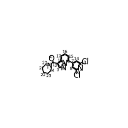 O=C(c1cnn2c(-c3cc(Cl)nc(Cl)c3)cccc12)N1CCCCC1